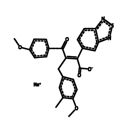 COc1ccc(C(=O)C(Cc2ccc(OC)c(C)c2)=C(C(=O)[O-])c2ccc3nsnc3c2)cc1.[Na+]